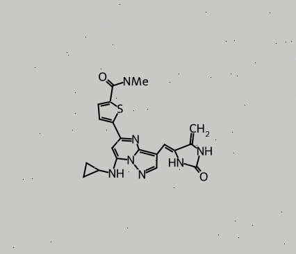 C=c1[nH]c(=O)[nH]/c1=C\c1cnn2c(NC3CC3)cc(-c3ccc(C(=O)NC)s3)nc12